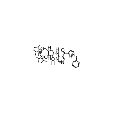 CC(C)[Si]1(C(C)C)OC[C@H]2C[C@@H](Nc3ncncc3C(=O)c3ccn(Cc4ccccc4)n3)[C@@H](O)[C@@H]2O[Si](C(C)C)(C(C)C)O1